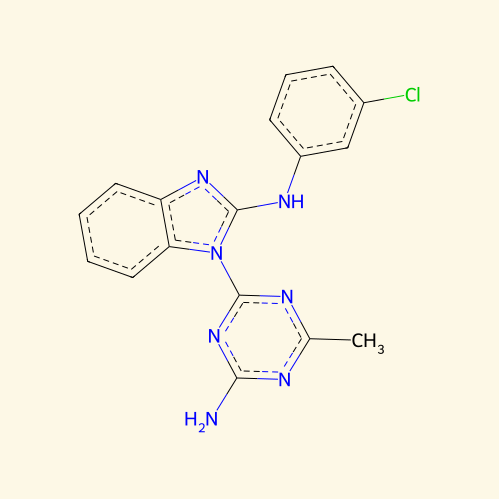 Cc1nc(N)nc(-n2c(Nc3cccc(Cl)c3)nc3ccccc32)n1